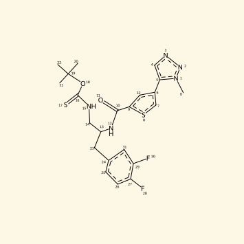 Cn1nncc1-c1csc(C(=O)NC(CNC(=S)OC(C)(C)C)Cc2ccc(F)c(F)c2)c1